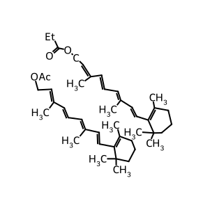 CC(=O)OC/C=C(C)/C=C/C=C(C)/C=C/C1=C(C)CCCC1(C)C.CCC(=O)OC/C=C(C)/C=C/C=C(C)/C=C/C1=C(C)CCCC1(C)C